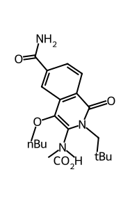 CCCCOc1c(N(C)C(=O)O)n(CC(C)(C)C)c(=O)c2ccc(C(N)=O)cc12